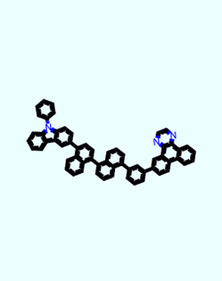 c1ccc(-n2c3ccccc3c3cc(-c4ccc(-c5cccc6c(-c7cccc(-c8ccc9c%10ccccc%10c%10nccnc%10c9c8)c7)cccc56)c5ccccc45)ccc32)cc1